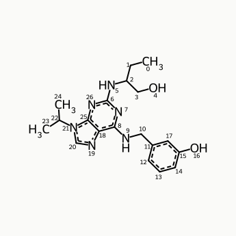 CCC(CO)Nc1nc(NCc2cccc(O)c2)c2ncn(C(C)C)c2n1